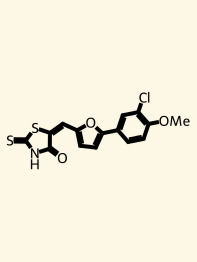 COc1ccc(-c2ccc(/C=C3/SC(=S)NC3=O)o2)cc1Cl